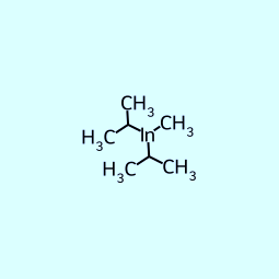 C[CH](C)[In]([CH3])[CH](C)C